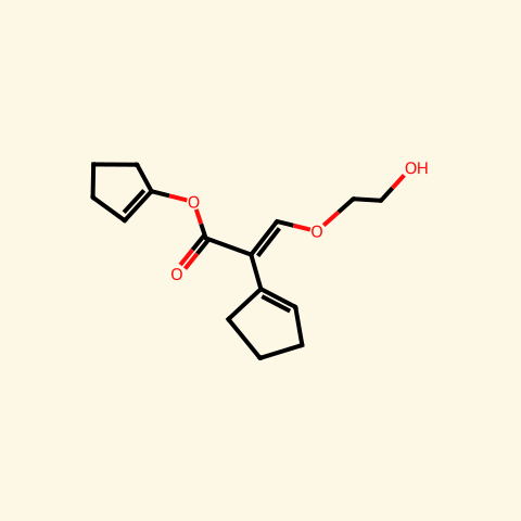 O=C(OC1=CCCC1)C(=COCCO)C1=CCCC1